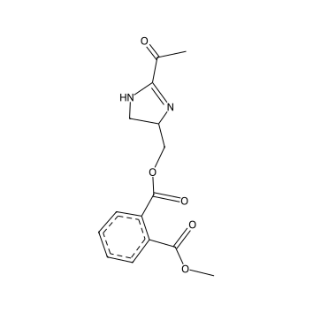 COC(=O)c1ccccc1C(=O)OCC1CNC(C(C)=O)=N1